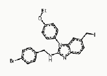 CCOc1ccc(-n2c(NCc3ccc(Br)cc3)nc3ccc(CI)cc32)cc1